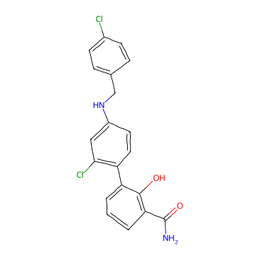 NC(=O)c1cccc(-c2ccc(NCc3ccc(Cl)cc3)cc2Cl)c1O